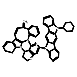 C=C1/C=C\c2c3c(n(C4CCCCC4)c2N(c2cccc(-n4c5ccccc5c5cc6c(cc54)c4ccccc4n6C4CCCCC4)n2)c2ccccc21)CCC=C3